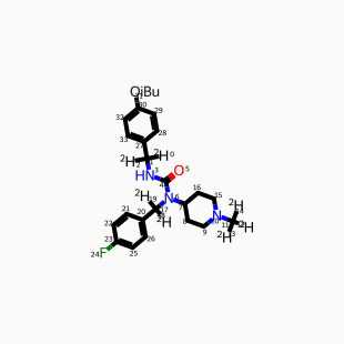 [2H]C([2H])(NC(=O)N(C1CCN(C([2H])([2H])[2H])CC1)C([2H])([2H])c1ccc(F)cc1)c1ccc(OCC(C)C)cc1